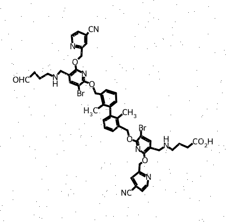 Cc1c(COc2nc(OCc3cc(C#N)ccn3)c(CNCCCC=O)cc2Br)cccc1-c1cccc(COc2nc(OCc3cc(C#N)ccn3)c(CNCCCC(=O)O)cc2Br)c1C